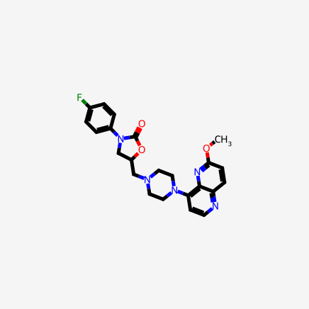 COc1ccc2nccc(N3CCN(CC4CN(c5ccc(F)cc5)C(=O)O4)CC3)c2n1